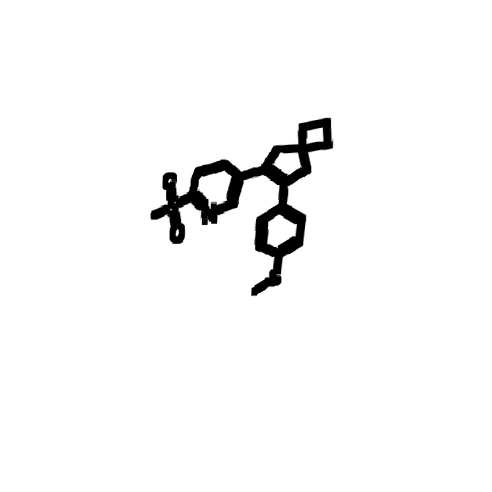 CSc1ccc(C2=C(c3ccc(S(C)(=O)=O)nc3)CC3(CCC3)C2)cc1